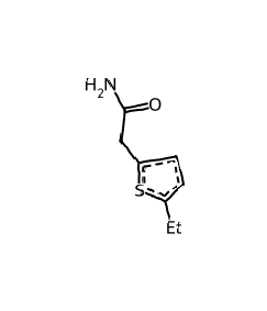 CCc1ccc(CC(N)=O)s1